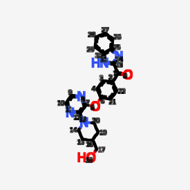 O=C(c1ccc(Oc2nccnc2N2CCC(CO)CC2)cc1)c1nc2ccccc2[nH]1